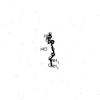 C[C@@H](OCc1ccc(CCOCCCc2cccc3c2n(C)c(=O)n3C2CCC(=O)NC2=O)cc1)[C@@H](N)CCC(N)=O.Cl